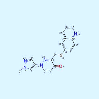 Cn1cc(-n2ccc(=O)c(CSc3ccc4ncccc4c3)n2)cn1